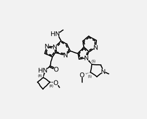 CNc1cc(-c2cn([C@H]3CN(C)C[C@@H]3OC)c3ncccc23)nc2c(C(=O)N[C@@H]3CC[C@H]3OC)cnn12